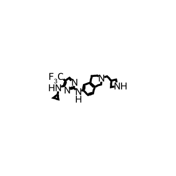 FC(F)(F)c1cnc(Nc2ccc3c(c2)CCN(CC2CNC2)C3)nc1NC1CC1